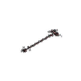 CC(C)(C)[Si](C)(C)O[C@H]1[C@@H](OCC(=O)NCCOCCOCCOCCOCCOCCOCCOCCOCCOCCOCCNC(=O)CCCC[C@@H]2SC[C@@H]3NC(=O)N[C@@H]32)[C@H](n2cnc3c(N)ncnc32)O[C@@H]1CO